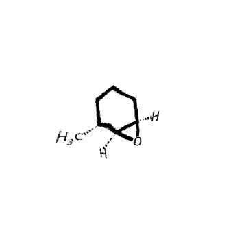 C[C@@H]1CCC[C@H]2O[C@@H]12